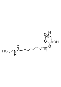 C[C@H](CCCCCCCCC(=O)NCCO)OC1OC2O[C@@H]2C[C@@H]1O